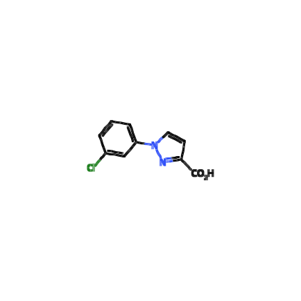 O=C(O)c1ccn(-c2cccc(Cl)c2)n1